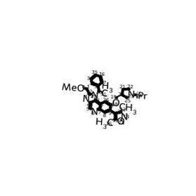 COCc1nc2cnc3cc(-c4c(C)noc4C)c(OC[C@H]4CCN(C(C)C)C4)cc3c2n1[C@H](C)c1ccccc1